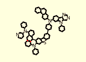 c1ccc(N(c2ccccc2)c2cc3sc4ccc(-c5ccc(N(c6ccc7c(ccc8ccccc87)c6)c6ccc7c8ncncc8n(-c8ccccc8)c7c6)cc5)cc4c3cc2-c2cccc3c(N(c4ccccc4)c4cccnc4)cccc23)cc1